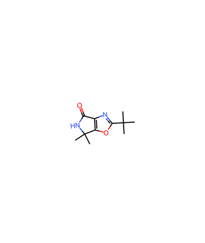 CC(C)(C)c1nc2c(o1)C(C)(C)NC2=O